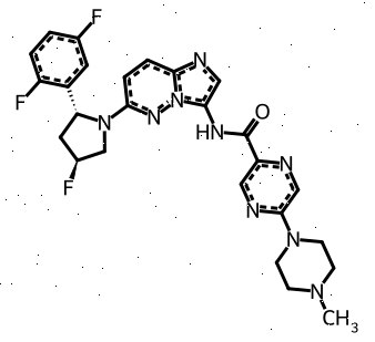 CN1CCN(c2cnc(C(=O)Nc3cnc4ccc(N5C[C@@H](F)C[C@@H]5c5cc(F)ccc5F)nn34)cn2)CC1